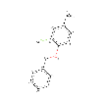 CCCC[CH]CCCc1ccc(OCc2ccccc2)c(F)c1